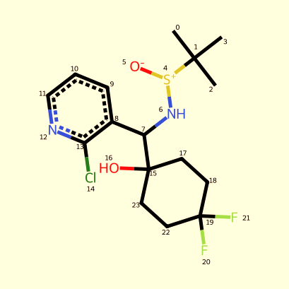 CC(C)(C)[S+]([O-])NC(c1cccnc1Cl)C1(O)CCC(F)(F)CC1